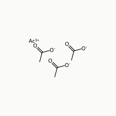 CC(=O)[O-].CC(=O)[O-].CC(=O)[O-].[Ac+3]